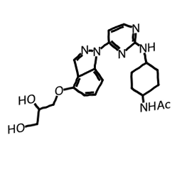 CC(=O)NC1CCC(Nc2nccc(-n3ncc4c(OCC(O)CO)cccc43)n2)CC1